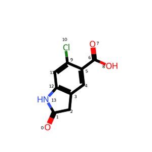 O=C1Cc2cc(C(=O)O)c(Cl)cc2N1